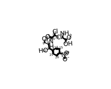 NCC(=O)O.O=C(N[C@H](CO)[C@H](O)c1ccc([N+](=O)[O-])cc1)C(Cl)Cl